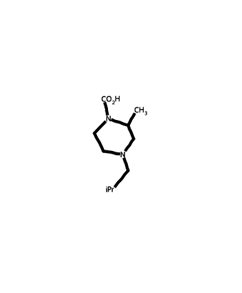 CC(C)CN1CCN(C(=O)O)C(C)C1